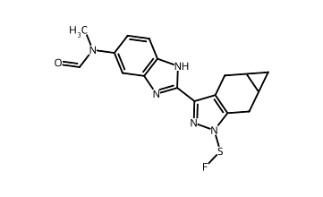 CN(C=O)c1ccc2[nH]c(-c3nn(SF)c4c3CC3CC3C4)nc2c1